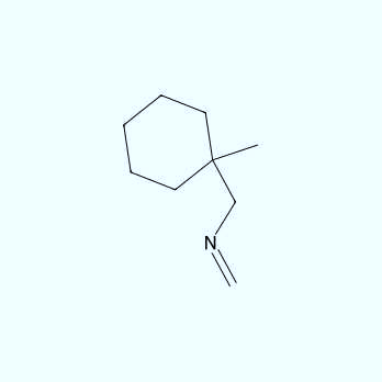 C=NCC1(C)CCCCC1